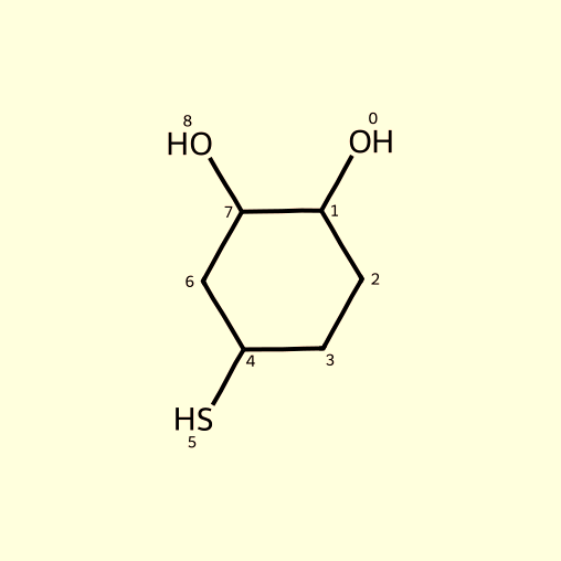 OC1CCC(S)CC1O